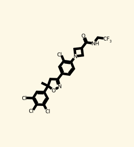 CC1(c2cc(Cl)c(Cl)c(Cl)c2)CC(c2ccc(N3CC(C(=O)NCC(F)(F)F)C3)c(Cl)c2)=NO1